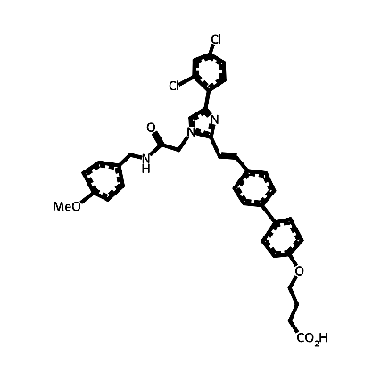 COc1ccc(CNC(=O)Cn2cc(-c3ccc(Cl)cc3Cl)nc2C=Cc2ccc(-c3ccc(OCCCC(=O)O)cc3)cc2)cc1